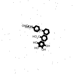 O=C(O)C1CCCCC1.O=C(O)C1CCCCC1.O=C(O)C1CCCCC1.O=CO.Oc1ccc(O)c(O)c1O